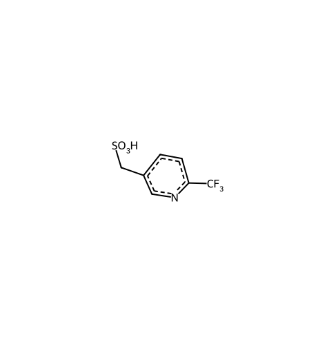 O=S(=O)(O)Cc1ccc(C(F)(F)F)nc1